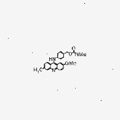 CNC(=O)OCc1ccc(Nc2c3ccc(C)cc3nc3ccc(OC)cc23)cc1